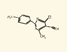 C#Cc1c(C)nc(-c2ccc(C)cc2)nc1Cl